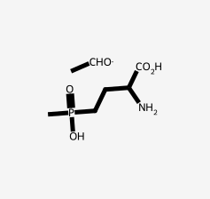 CP(=O)(O)CCC(N)C(=O)O.C[C]=O